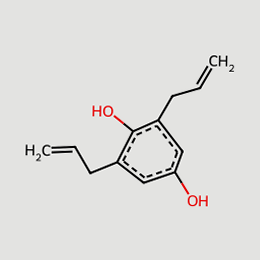 C=CCc1cc(O)cc(CC=C)c1O